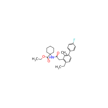 CCOC(=O)C1(NC(=O)Cc2c(CC)ccc(-c3ccc(F)cc3)c2C)CCCCC1